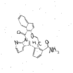 CCOc1ccc2ccccc2c1C(=O)n1cc(-c2cccc(C(N)=O)c2)c2cccnc21